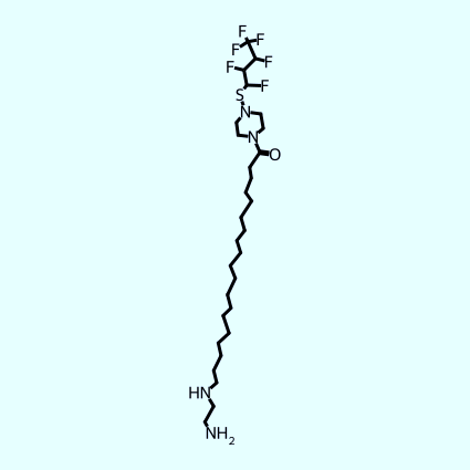 NCCNCCCCCCCCCCCCCCCCCCC(=O)N1CCN(SC(F)C(F)C(F)C(F)(F)F)CC1